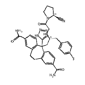 N#C[C@@H]1CCCN1C(=O)CN[C@H](Cc1ccc(F)cc1)CC1(c2nnn[nH]2)c2ccc(C(N)=O)cc2CCc2cc(C(N)=O)ccc21